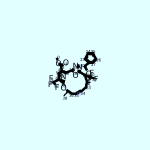 COC(=O)c1cc(C(F)(F)F)c2nc1-c1nnc(o1)[C@@](OCc1ccccc1)(C(F)(F)F)CC/C=C\C[C@@H](C)O2